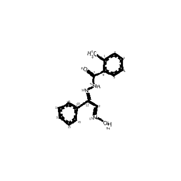 Cc1ccccc1C(=O)N/N=C(\C=N\O)c1ccccc1